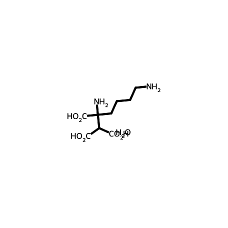 NCCCCC(N)(C(=O)O)C(C(=O)O)C(=O)O.O